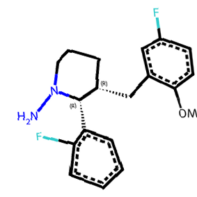 COc1ccc(F)cc1C[C@H]1CCCN(N)[C@H]1c1ccccc1F